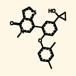 Cc1ccc(Oc2ccc(C3(O)CC3)cc2-c2cn(C)c(=O)c3ccsc23)c(C)c1